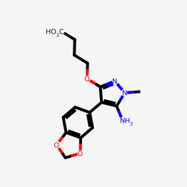 Cn1nc(OCCCC(=O)O)c(-c2ccc3c(c2)OCO3)c1N